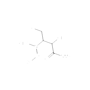 CNC(=O)C(O)C(CC(F)(F)F)N(C=O)OC(C)(C)C